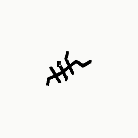 CCCC(C)(CC)C(F)(F)C(C)(C)CC